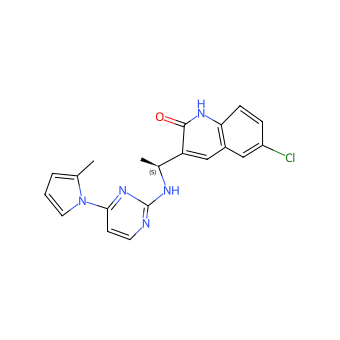 Cc1cccn1-c1ccnc(N[C@@H](C)c2cc3cc(Cl)ccc3[nH]c2=O)n1